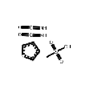 CS(=O)(=O)O.N=C=O.N=C=O.c1ccsc1